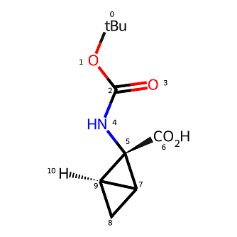 CC(C)(C)OC(=O)N[C@]1(C(=O)O)C2C[C@H]21